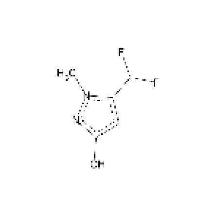 Cn1nc(O)cc1C(F)F